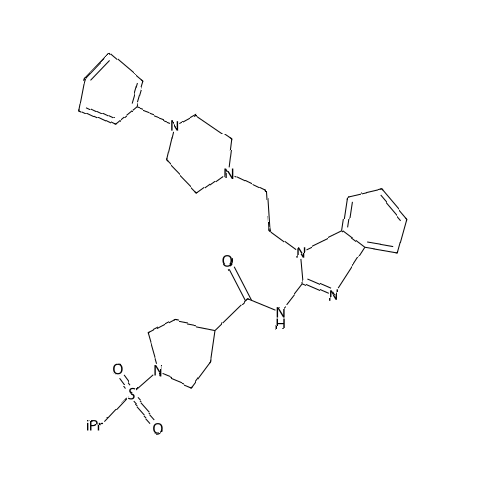 CC(C)S(=O)(=O)N1CCC(C(=O)Nc2nc3ccccc3n2CCN2CCN(c3ccccc3)CC2)CC1